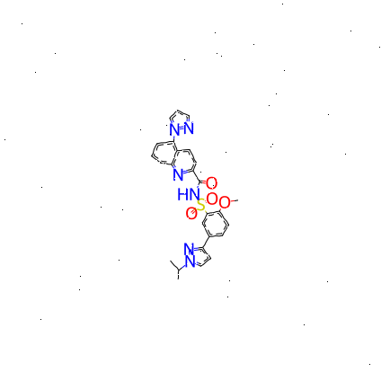 COc1ccc(-c2ccn(C(C)C)n2)cc1S(=O)(=O)NC(=O)c1ccc2c(-n3cccn3)cccc2n1